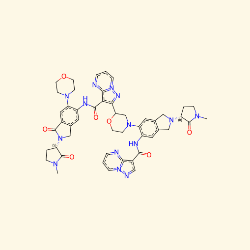 CN1CC[C@@H](N2Cc3cc(NC(=O)c4cnn5cccnc45)c(N4CCOC(c5nn6cccnc6c5C(=O)Nc5cc6c(cc5N5CCOCC5)C(=O)N([C@H]5CCN(C)C5=O)C6)C4)cc3C2)C1=O